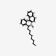 CCCCCCCCC(OC)c1ccccc1-c1cccc2ccccc12